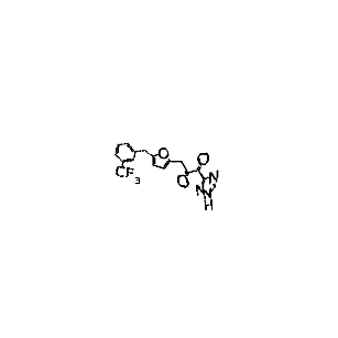 O=C(Cc1ccc(Cc2cccc(C(F)(F)F)c2)o1)C(=O)c1nc[nH]n1